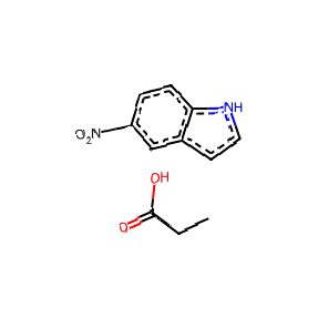 CCC(=O)O.O=[N+]([O-])c1ccc2[nH]ccc2c1